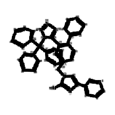 CCCCc1nc(-c2cccnc2)cn1Cc1ccc(-c2ccccc2)c(-c2nnnn2C(c2ccccc2)(c2ccccc2)c2ccccc2)c1